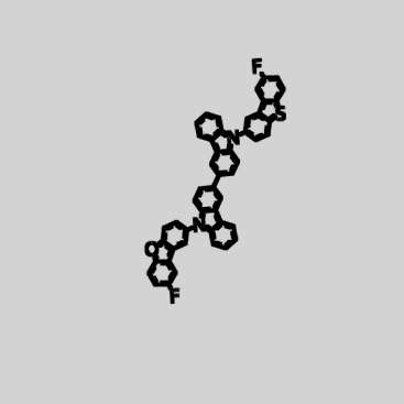 Fc1ccc2oc3ccc(-n4c5ccccc5c5cc(-c6ccc7c(c6)c6ccccc6n7-c6ccc7sc8ccc(F)cc8c7c6)ccc54)cc3c2c1